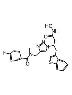 O=C(C[C@@H](Cc1csc2ccccc12)n1cc(CNC(=O)c2ccc(F)cc2)nn1)NO